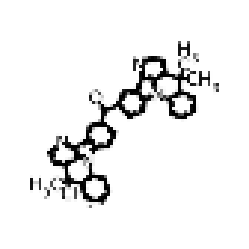 CC1(C)c2ccccc2-n2c3ccc(C(=O)c4ccc5c(c4)c4nccc6c4n5-c4ccccc4C6(C)C)cc3c3nccc1c32